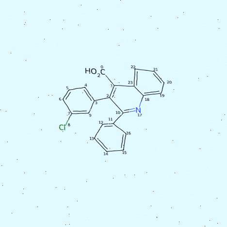 O=C(O)c1c(-c2cccc(Cl)c2)c(-c2ccccc2)nc2ccccc12